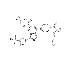 CC1(NS(=O)(=O)c2cc(N3CCN(C(=O)C4(OCCO)CC4)CC3)c3cnc(-c4nnc(C(F)(F)F)s4)n3c2)CC1